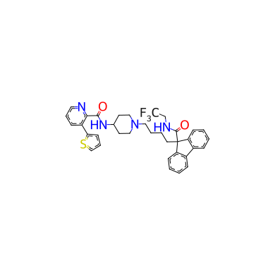 O=C(NC1CCN(CCCCC2(C(=O)NCC(F)(F)F)c3ccccc3-c3ccccc32)CC1)c1ncccc1-c1cccs1